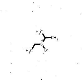 CC[SiH](Br)C(C)C